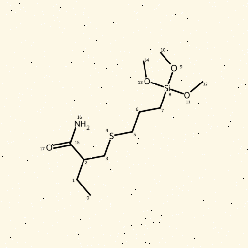 CCC(CSCCC[Si](OC)(OC)OC)C(N)=O